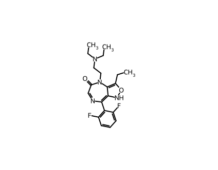 CCC1=C2C(=C(c3c(F)cccc3F)N=CC(=O)N2CCN(CC)CC)NO1